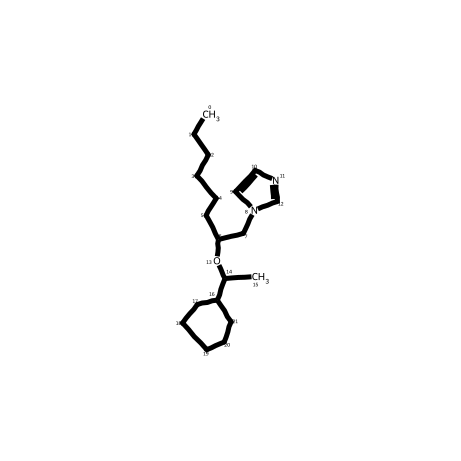 CCCCCCC(Cn1ccnc1)OC(C)C1CCCCC1